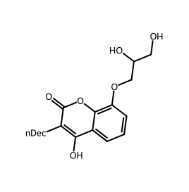 CCCCCCCCCCc1c(O)c2cccc(OCC(O)CO)c2oc1=O